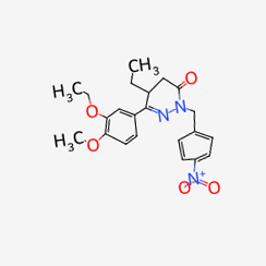 CCOc1cc(C2=NN(Cc3ccc([N+](=O)[O-])cc3)C(=O)CC2CC)ccc1OC